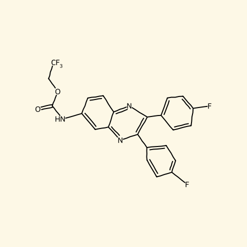 O=C(Nc1ccc2nc(-c3ccc(F)cc3)c(-c3ccc(F)cc3)nc2c1)OCC(F)(F)F